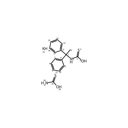 CC(NC(O)=S)(c1ccccc1)c1ccccc1.NC(O)=S.[KH]